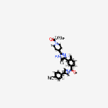 COC(=O)N1CCC(C2NC(c3cc(C(=O)N4CC(c5ccc(C#N)cc5)C4)ccc3C)=C(C(F)(F)F)N2)CC1